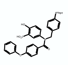 CCCCCCCc1ccc(CN(C(=O)c2ccc(Oc3ccccc3)cc2)c2ccc(O)c(C(=O)O)c2)cc1